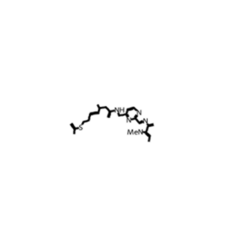 C=C(CC(C)/C=C/CCSC(=C)C)NCc1ccnc(/C=N/C(=C)/C(=C/C)NC)n1